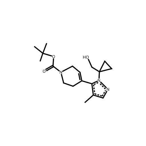 Cc1cnn(C2(CO)CC2)c1C1=CCN(C(=O)OC(C)(C)C)CC1